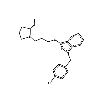 CC[C@@H]1CCCN1CCCOc1nn(Cc2ccc(Cl)cc2)c2ccccc12